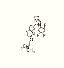 CN(C)CCOc1cnc2ccc(C3N4CCCC4=CN3c3cc(F)c(F)cc3F)cc2n1